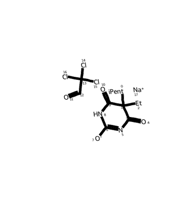 CCCC(C)C1(CC)C(=O)N=C([O-])NC1=O.O=CC(Cl)(Cl)Cl.[Na+]